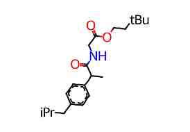 CC(C)Cc1ccc(C(C)C(=O)NCC(=O)OCCC(C)(C)C)cc1